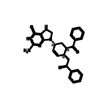 Nc1nc2c(c(=O)[nH]1)NCN2[C@H]1C=C[C@H](CC(=O)c2ccccc2)[C@H](C(=O)c2ccccc2)C1